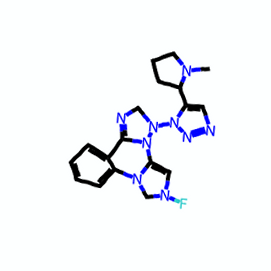 CN1CCCC1c1cnnn1N1CN=C2c3ccccc3N3CN(F)C=C3N21